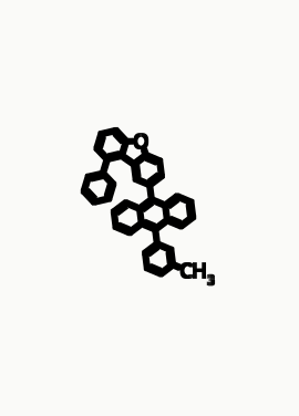 Cc1cccc(-c2c3ccccc3c(-c3ccc4oc5cccc(-c6ccccc6)c5c4c3)c3ccccc23)c1